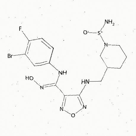 N[S+]([O-])N1CCCC(CNc2nonc2/C(=N/O)Nc2ccc(F)c(Br)c2)C1